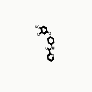 N#Cc1ccc(O[C@H]2CC[C@H](NC(=O)c3ccccn3)CC2)cc1Cl